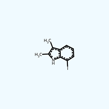 Cc1[nH]c2c(I)cccc2c1C